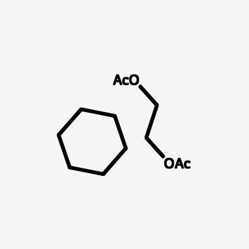 C1CCCCC1.CC(=O)OCCOC(C)=O